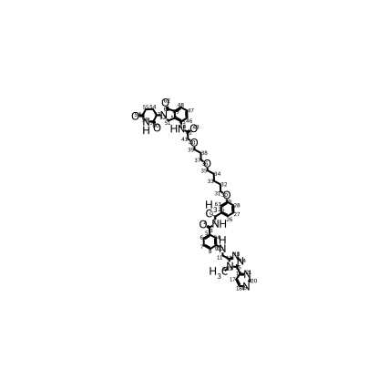 C[C@@H](NC(=O)c1cccc(NCc2nnc(-c3ccncn3)n2C)c1)c1cccc(OCCCCCOCCCOCC(=O)Nc2cccc3c2CN(C2CCC(=O)NC2=O)C3=O)c1